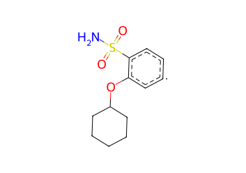 NS(=O)(=O)c1cc[c]cc1OC1CCCCC1